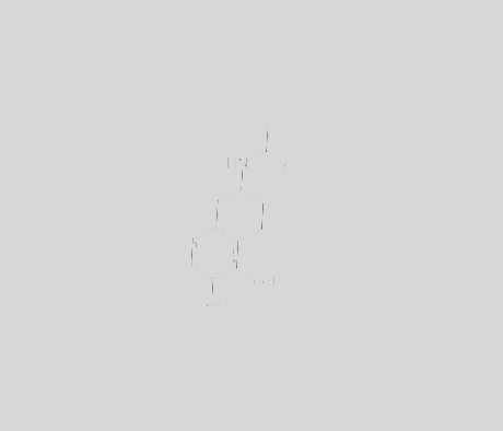 CC(C)NC1CCc2c(ccc(O)c2O)C1